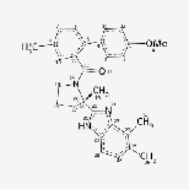 COc1ccc(-c2ccc(C)cc2C(=O)N2CCC[C@@]2(C)c2nc3c(C)c(C)ccc3[nH]2)cc1